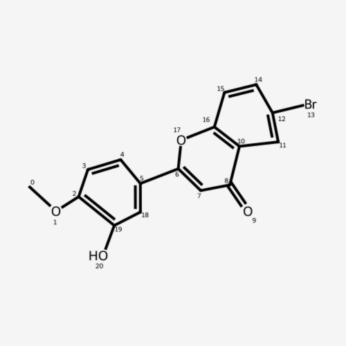 COc1ccc(-c2cc(=O)c3cc(Br)ccc3o2)cc1O